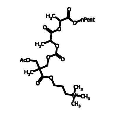 CCCCCOC(=O)C(C)OC(=O)C(C)OC(=O)OCC(C)(COC(C)=O)C(=O)OCCC[N+](C)(C)C